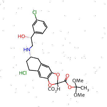 COC(C)(OC)OC(=O)C1(C(=O)O)Oc2cc3c(cc2O1)C[C@@H](NC[C@H](O)c1cccc(Cl)c1)CC3.Cl